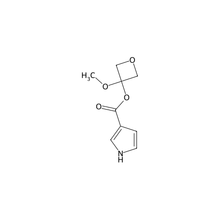 COC1(OC(=O)c2cc[nH]c2)COC1